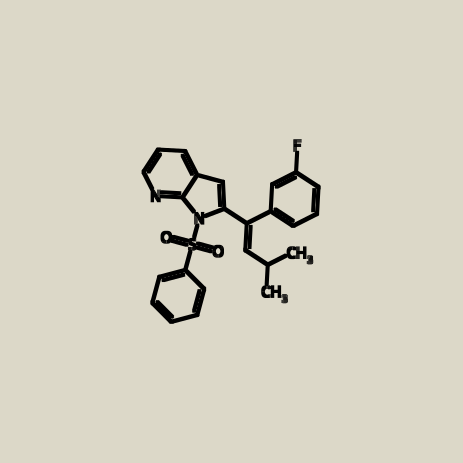 CC(C)C=C(c1cccc(F)c1)c1cc2cccnc2n1S(=O)(=O)c1ccccc1